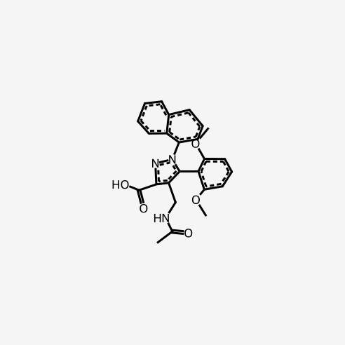 COc1cccc(OC)c1-c1c(CNC(C)=O)c(C(=O)O)nn1-c1cccc2ccccc12